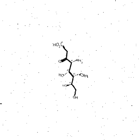 N[C@@H](C(=O)CC(=O)O)[C@@H](O)[C@H](O)[C@H](O)CO